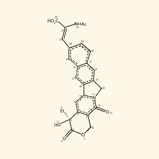 CC[C@@]1(O)C(=O)OCc2c1cc1n(c2=O)Cc2cc3ccc(C=C(NC(C)=O)C(=O)O)cc3nc2-1